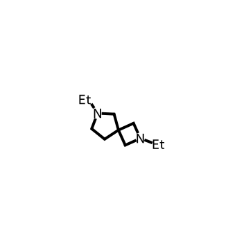 CCN1CCC2(C1)CN(CC)C2